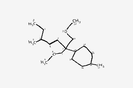 CCC(C)CCC(COC)(COC)C1CCC(C)CC1